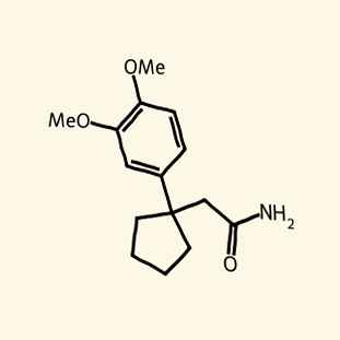 COc1ccc(C2(CC(N)=O)CCCC2)cc1OC